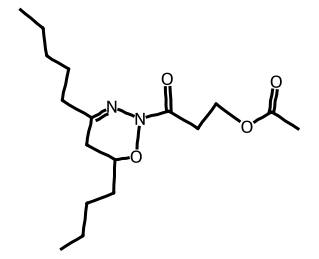 CCCCCC1=NN(C(=O)CCOC(C)=O)OC(CCCC)C1